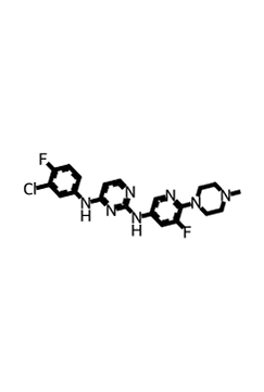 CN1CCN(c2ncc(Nc3nccc(Nc4ccc(F)c(Cl)c4)n3)cc2F)CC1